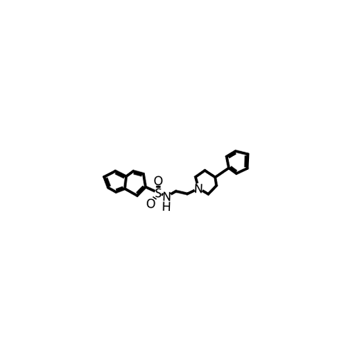 O=S(=O)(NCCN1CCC(c2ccccc2)CC1)c1ccc2ccccc2c1